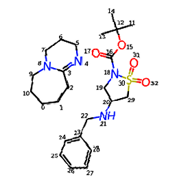 C1CCC2=NCCCN2CC1.CC(C)(C)OC(=O)N1CC(NCc2ccccc2)CS1(=O)=O